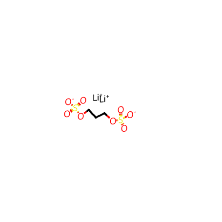 O=S(=O)([O-])OCCCOS(=O)(=O)[O-].[Li+].[Li+]